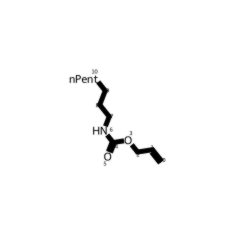 C=CCOC(=O)NCCCCCCCC